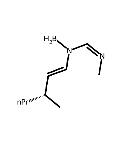 BN(/C=N\C)/C=C/[C@H](C)CCC